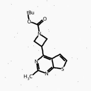 Cc1nc(C2CN(C(=O)OC(C)(C)C)C2)c2ccsc2n1